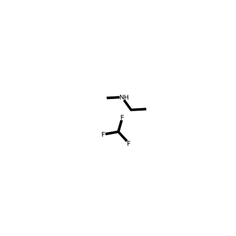 CCNC.FC(F)F